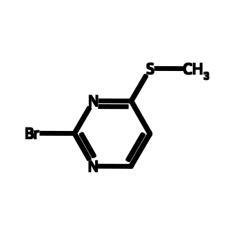 CSc1ccnc(Br)n1